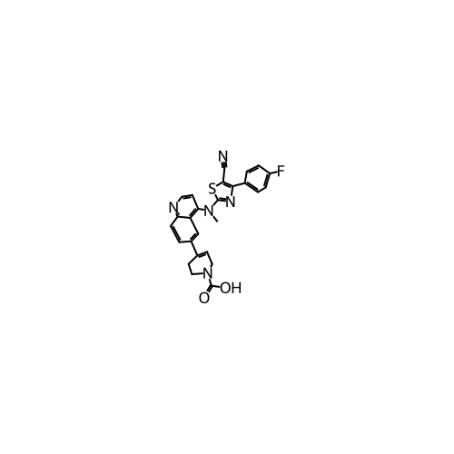 CN(c1nc(-c2ccc(F)cc2)c(C#N)s1)c1ccnc2ccc(C3=CCN(C(=O)O)CC3)cc12